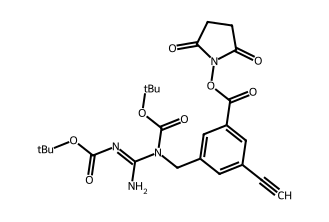 C#Cc1cc(CN(C(=O)OC(C)(C)C)/C(N)=N/C(=O)OC(C)(C)C)cc(C(=O)ON2C(=O)CCC2=O)c1